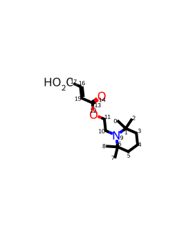 CC1(C)CCCC(C)(C)N1CCOC(=O)C=CC(=O)O